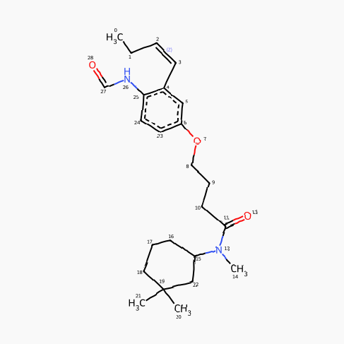 CC/C=C\c1cc(OCCCC(=O)N(C)C2CCCC(C)(C)C2)ccc1NC=O